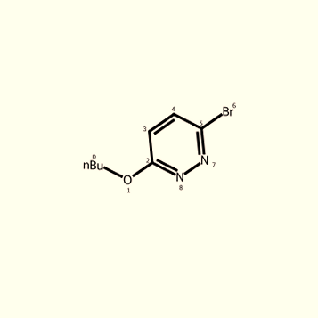 CCCCOc1ccc(Br)nn1